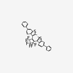 Cc1sc2cc(-c3ccccc3)ccc2c1C1=C(c2c(C)sc3cc(-c4ccccc4)ccc23)C(F)(F)C(F)(F)C1(F)F